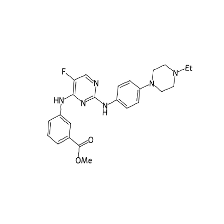 CCN1CCN(c2ccc(Nc3ncc(F)c(Nc4cccc(C(=O)OC)c4)n3)cc2)CC1